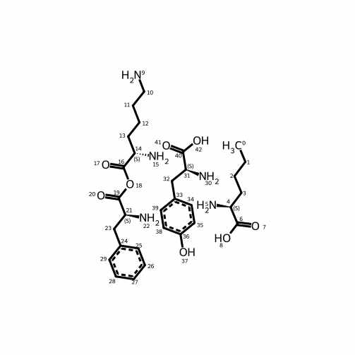 CCCC[C@H](N)C(=O)O.NCCCC[C@H](N)C(=O)OC(=O)[C@@H](N)Cc1ccccc1.N[C@@H](Cc1ccc(O)cc1)C(=O)O